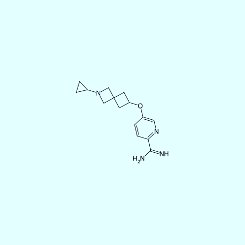 N=C(N)c1ccc(OC2CC3(C2)CN(C2CC2)C3)cn1